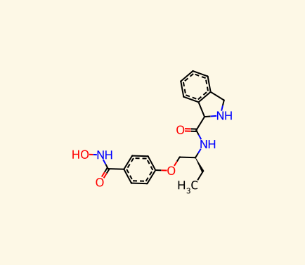 CC[C@@H](COc1ccc(C(=O)NO)cc1)NC(=O)C1NCc2ccccc21